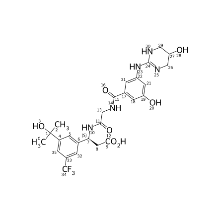 CC(C)(O)c1cc([C@H](CC(=O)O)NC(=O)CNC(=O)c2cc(O)cc(NC3=NCC(O)CN3)c2)cc(C(F)(F)F)c1